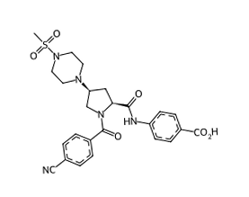 CS(=O)(=O)N1CCN([C@H]2C[C@@H](C(=O)Nc3ccc(C(=O)O)cc3)N(C(=O)c3ccc(C#N)cc3)C2)CC1